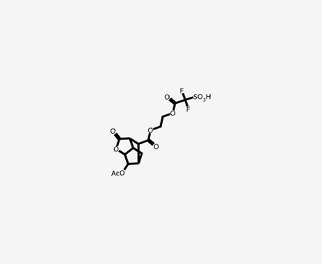 CC(=O)OC1C2CC3C1OC(=O)C3C2C(=O)OCCOC(=O)C(F)(F)S(=O)(=O)O